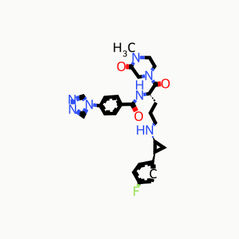 CN1CCN(C(=O)[C@H](CCCN[C@@H]2C[C@H]2c2ccc(F)cc2)NC(=O)c2ccc(-n3cnnc3)cc2)CC1=O